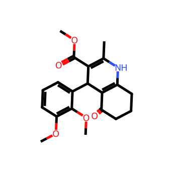 COC(=O)C1=C(C)NC2=C(C(=O)CCC2)C1c1cccc(OC)c1OC